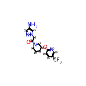 Nc1cnn(CC(=O)N2CCC[C@H](Oc3ccc(C(F)(F)F)cn3)C2)c1